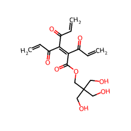 C=CC(=O)C(C(=O)C=C)=C(C(=O)C=C)C(=O)OCC(CO)(CO)CO